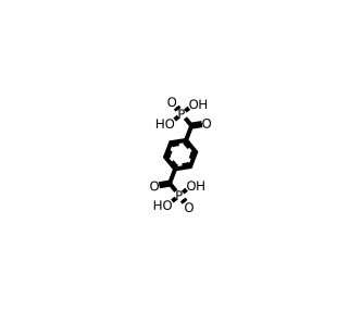 O=C(c1ccc(C(=O)P(=O)(O)O)cc1)P(=O)(O)O